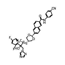 C[C@@H](S[C@H]1CO[C@H](c2ccc3cc(C(=O)Nc4ccc(C#N)cc4)ccc3c2)OC1)[C@](O)(Cn1cncn1)c1ccc(F)cc1F